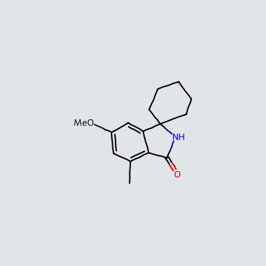 COc1cc(C)c2c(c1)C1(CCCCC1)NC2=O